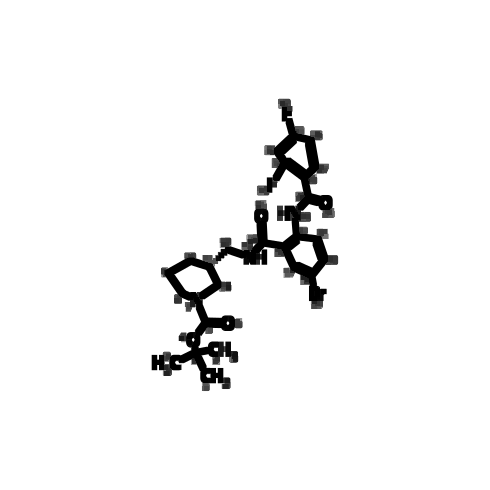 CC(C)(C)OC(=O)N1CCC[C@H](CNC(=O)c2cc(Br)ccc2NC(=O)c2ccc(F)cc2F)C1